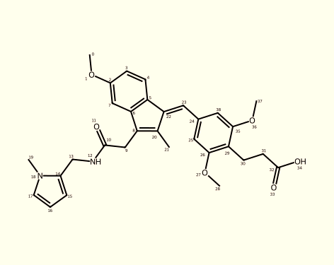 COc1ccc2c(c1)C(CC(=O)NCc1cccn1C)=C(C)C2=Cc1cc(OC)c(CCC(=O)O)c(OC)c1